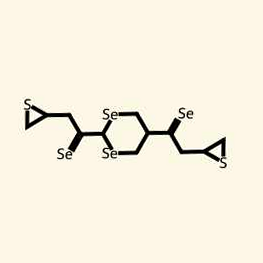 [Se]=C(CC1CS1)C1C[Se]C(C(=[Se])CC2CS2)[Se]C1